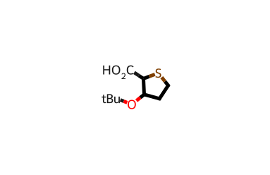 CC(C)(C)OC1CCSC1C(=O)O